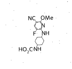 COc1nc(NC2CCC(NC(=O)O)CC2)c(F)cc1C#N